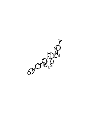 CS(=O)(=O)O.Cc1c(C(=O)Nc2ccc(C3=CCC(N4CCOCC4)CC3)nc2)cnn1-c1ccc(C2CC2)cn1